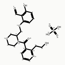 O=Cc1c(O)cccc1OCC1COCCN1C(=O)c1cccnc1CCO.O=S(=O)(O)O